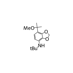 COC(C)(C)c1ccc(NC(C)(C)C)c2c1OCO2